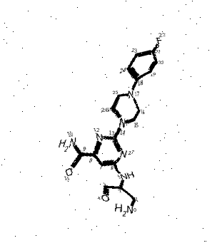 NCC(C=O)Nc1cc(C(N)=O)nc(N2CCN(c3ccc(F)cc3)CC2)n1